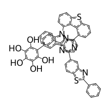 Oc1c(O)c(O)c(-c2ccc3c(c2)c2ccccc2n3-c2cccc3sc4cccc(-c5nc(-c6ccccc6)nc(-c6ccc7sc(-c8ccccc8)nc7c6)n5)c4c23)c(O)c1O